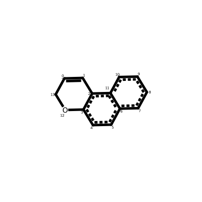 [C]1=Cc2c(ccc3ccccc23)OC1